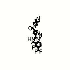 C[C@@H](Nc1ncnn2cc(C(=O)N3CC4(CN(C)C4)C3)cc12)c1cccc(C(F)F)c1F